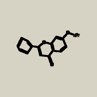 CCCOc1ccc2c(=O)cc(-c3ccccc3)oc2c1